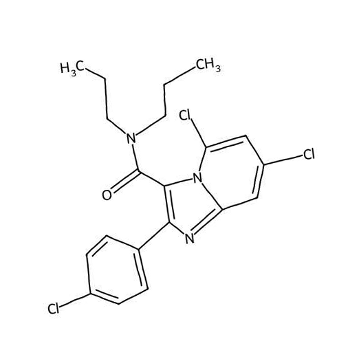 CCCN(CCC)C(=O)c1c(-c2ccc(Cl)cc2)nc2cc(Cl)cc(Cl)n12